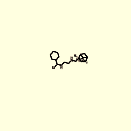 CC[C@H](NCCNC[C@@H]1CCC2CC1C2(C)C)C1CCCCC1